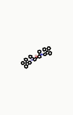 c1ccc(C2(c3ccccc3)c3ccccc3-c3ccc(-n4c5ccccc5c5c6oc7c(ccc8c7c7ccccc7n8-c7ccc8c(c7)C(c7ccccc7)(c7ccccc7)c7ccccc7-8)c6ccc54)cc32)cc1